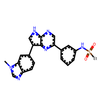 CCS(=O)(=O)Nc1cccc(-c2cnc3[nH]cc(-c4ccc5ncn(C)c5c4)c3n2)c1